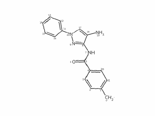 [CH2]c1ccc(C(=O)Nc2nn(-c3ccccc3)cc2N)cc1